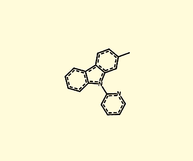 Cc1ccc2c3ccccc3n(-c3ccccn3)c2c1